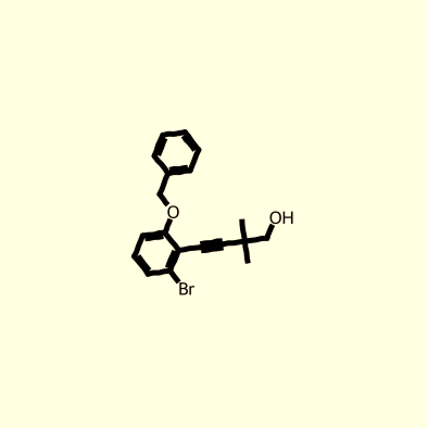 CC(C)(C#Cc1c(Br)cccc1OCc1ccccc1)CO